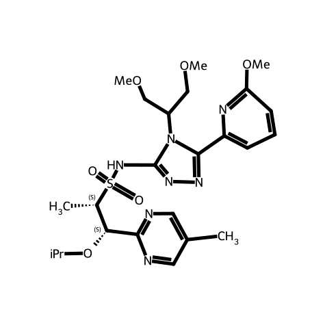 COCC(COC)n1c(NS(=O)(=O)[C@@H](C)[C@@H](OC(C)C)c2ncc(C)cn2)nnc1-c1cccc(OC)n1